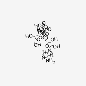 Nc1ncnc2c1ncn2[C@@H]1O[C@H](COP(=O)(O[C@]2(O)C[C@H](O)[C@@H](CO)O2)OP(=O)(O)OP(=O)(O)O)[C@@H](O)[C@H]1O